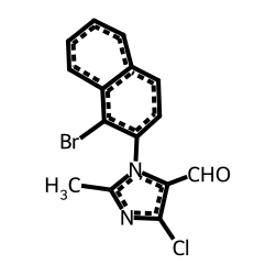 Cc1nc(Cl)c(C=O)n1-c1ccc2ccccc2c1Br